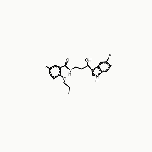 CCCOc1ccc(I)cc1C(=O)NCCC(O)c1c[nH]c2ccc(F)cc12